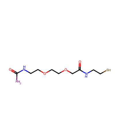 O=C(P)NCCOCCOCC(=O)NCCS